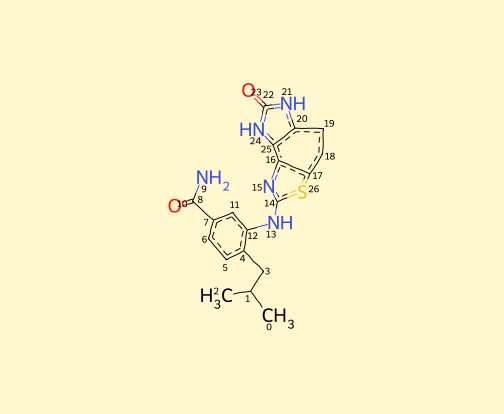 CC(C)Cc1ccc(C(N)=O)cc1Nc1nc2c(ccc3[nH]c(=O)[nH]c32)s1